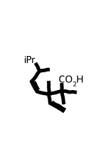 C=CC(C)(/C=C\C(C)C(C)C)C(C)(C)C(=O)O